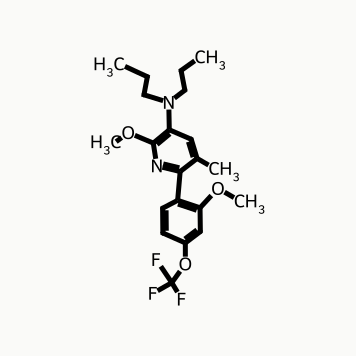 CCCN(CCC)c1cc(C)c(-c2ccc(OC(F)(F)F)cc2OC)nc1OC